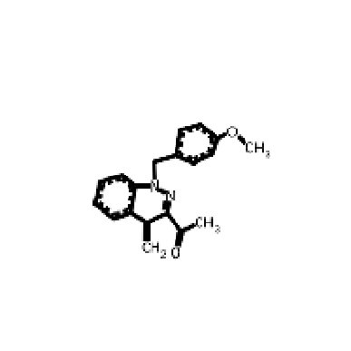 C=C1C(C(C)=O)=NN(Cc2ccc(OC)cc2)c2ccccc21